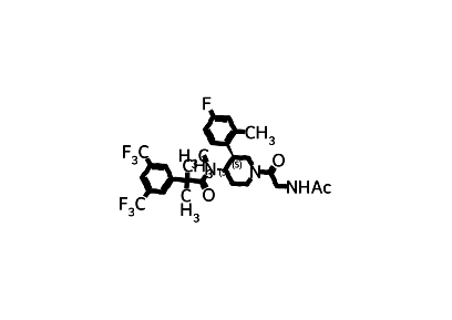 CC(=O)NCC(=O)N1CC[C@H](N(C)C(=O)C(C)(C)c2cc(C(F)(F)F)cc(C(F)(F)F)c2)[C@@H](c2ccc(F)cc2C)C1